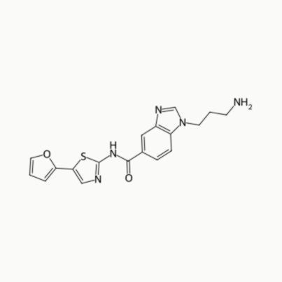 NCCCn1cnc2cc(C(=O)Nc3ncc(-c4ccco4)s3)ccc21